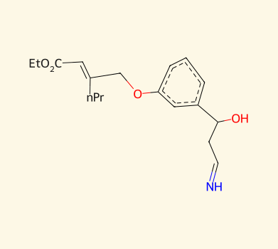 CCC/C(=C\C(=O)OCC)COc1cccc(C(O)CC=N)c1